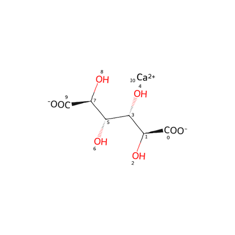 O=C([O-])[C@@H](O)[C@@H](O)[C@H](O)[C@H](O)C(=O)[O-].[Ca+2]